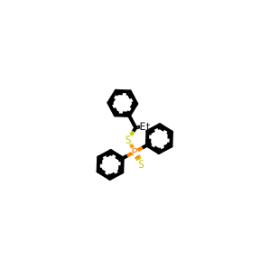 CCC(SP(=S)(c1ccccc1)c1ccccc1)c1ccccc1